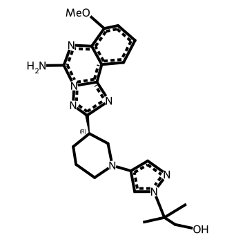 COc1cccc2c1nc(N)n1nc([C@@H]3CCCN(c4cnn(C(C)(C)CO)c4)C3)nc21